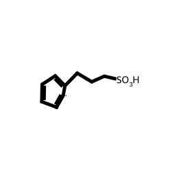 O=S(=O)(O)CCCc1[c]cccc1